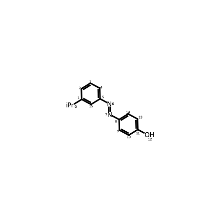 CC(C)c1cccc(N=Nc2ccc(O)cc2)c1